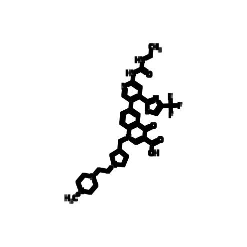 CCNC(=O)Nc1cc(-c2nc(C(F)(F)F)cs2)c(-c2ccc3c(c2)c(=O)c(C(=O)O)cn3CC2CCN(CCN3CCN(C)CC3)C2)cn1